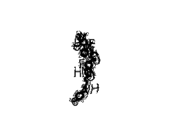 CCc1nc2c(-c3c(C(F)(F)F)cc4c(nc(C)n4C)c3OC)cccn2c1C(=O)c1cc(F)c(NC(=O)/C=C/CNC2CCC(OC)CC2)c(F)c1